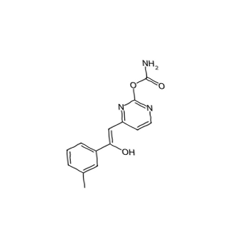 Cc1cccc(/C(O)=C/c2ccnc(OC(N)=O)n2)c1